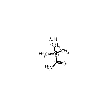 C[Si](C)(C)C(N)=O.[LiH]